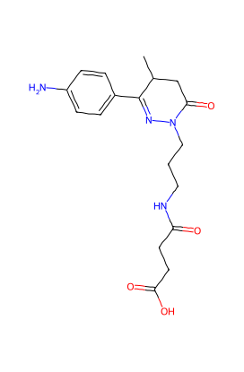 CC1CC(=O)N(CCCNC(=O)CCC(=O)O)N=C1c1ccc(N)cc1